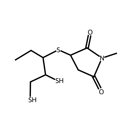 CCC(SC1CC(=O)N(C)C1=O)C(S)CS